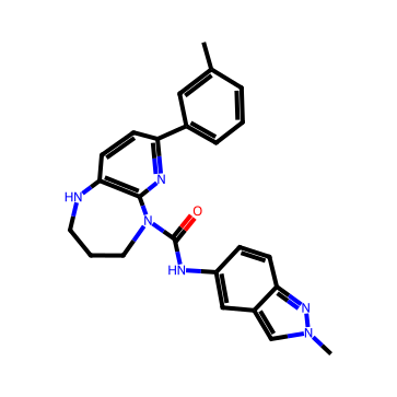 Cc1cccc(-c2ccc3c(n2)N(C(=O)Nc2ccc4nn(C)cc4c2)CCCN3)c1